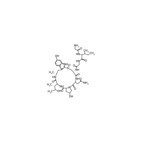 CCC(C)C(NC(=O)CN)C(=O)NCC(=O)N[C@H]1C[S+]([O-])c2[nH]c3cc(O)ccc3c2C[C@@H](C)NC(=O)C([C@@H](C)C(C)O)NC(=O)C2CC(O)CN2C(=O)C(CC(N)=O)NC1=O